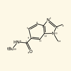 Cc1nc2ccc(C(=O)NC(C)(C)C)cc2n1C